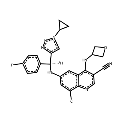 [2H][C@](Nc1cc(Cl)c2ncc(C#N)c(NC3COC3)c2c1)(c1ccc(F)cc1)c1cn(C2CC2)nn1